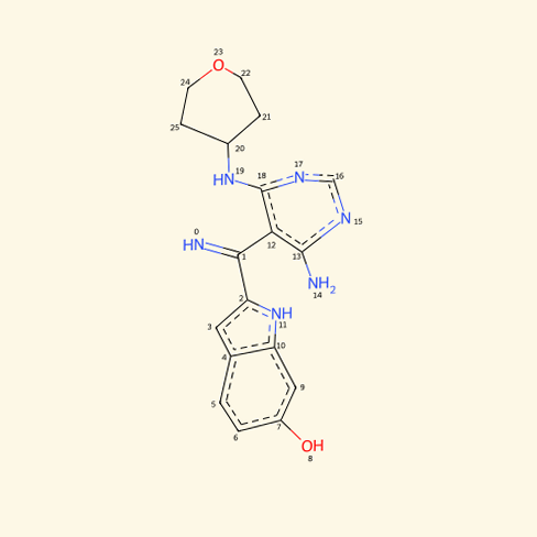 N=C(c1cc2ccc(O)cc2[nH]1)c1c(N)ncnc1NC1CCOCC1